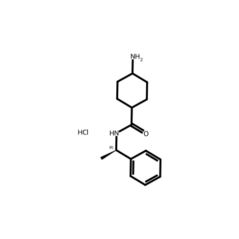 C[C@@H](NC(=O)C1CCC(N)CC1)c1ccccc1.Cl